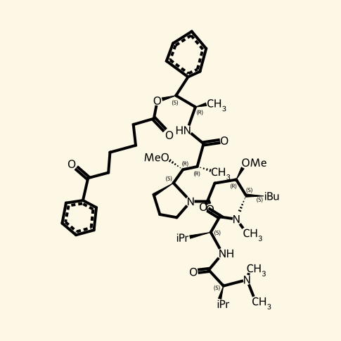 CC[C@H](C)[C@@H]([C@@H](CC(=O)N1CCC[C@H]1[C@H](OC)[C@@H](C)C(=O)N[C@H](C)[C@@H](OC(=O)CCCCC(=O)c1ccccc1)c1ccccc1)OC)N(C)C(=O)[C@@H](NC(=O)[C@H](C(C)C)N(C)C)C(C)C